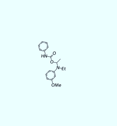 CCN(c1cccc(OC)c1)C(C)OC(=O)Nc1ccccc1